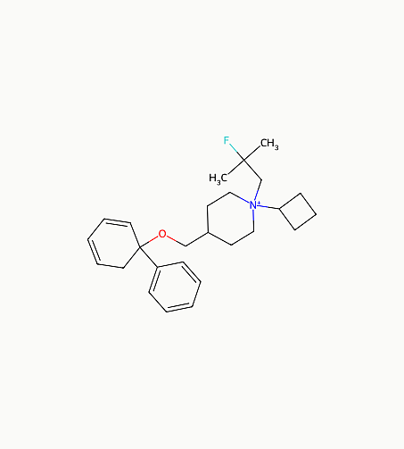 CC(C)(F)C[N+]1(C2CCC2)CCC(COC2(c3ccccc3)C=CC=CC2)CC1